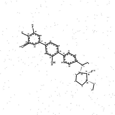 CC[C@@H]1CCC[C@H](N(C)c2cnc(-c3ccc(-c4cc(F)n(C)c(=O)n4)cc3O)nn2)[C@@H]1F